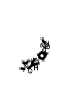 CCN(C(=O)C1[C@H]2CN(C3CC4CC(C3)N(c3nc(C)no3)C4)C[C@@H]12)C(C)C